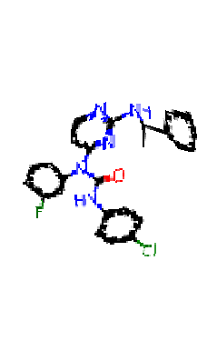 CC(Nc1nccc(N(C(=O)Nc2ccc(Cl)cc2)c2cccc(F)c2)n1)c1ccccc1